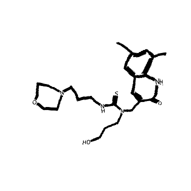 Cc1cc(C)c2[nH]c(=O)c(CN(CCCO)C(=S)NCCCN3CCOCC3)cc2c1